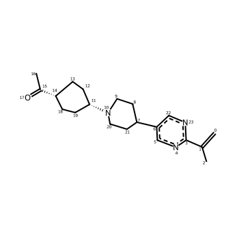 C=C(C)c1ncc(C2CCN([C@H]3CC[C@@H](C(C)=O)CC3)CC2)cn1